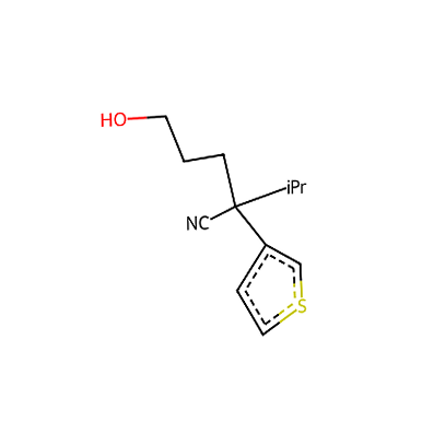 CC(C)C(C#N)(CCCO)c1ccsc1